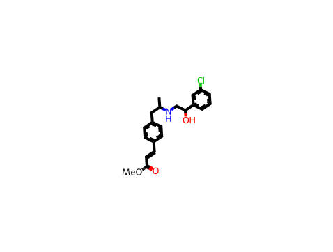 COC(=O)C=Cc1ccc(CC(C)NCC(O)c2cccc(Cl)c2)cc1